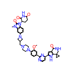 COc1cc(-c2nccc(-c3cc4c([nH]3)C3(CC3)CNC4=O)n2)ccc1N1CCN(CC2CN(c3ccc4c(c3)n(C)c(=O)n4C3CCC(=O)NC3=O)C2)CC1